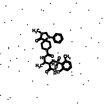 Cc1cccc(Cl)c1S(=O)(=O)NC(C(=O)O)C(C)NC(=O)N1CCC2(CC1)C(=O)N(C)CN2c1ccccc1